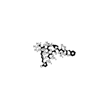 CC[C@H](C)[C@@H]([C@@H](CC(=O)N1C2C(C)C2C[C@H]1[C@H](OC)[C@@H](C)C(=O)N[C@@H](Cc1ccccc1)C(=O)O)OC)N(C)C(=O)[C@@H](NC(=O)[C@H](C(C)C)N(C)C(=O)CCCCCN1C(=O)C=CC1=O)C(C)C